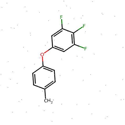 [CH2]c1ccc(Oc2cc(F)c(F)c(F)c2)cc1